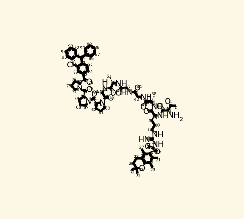 CC(=O)[C@H](N)C(=O)N[C@@H](CCCNC(=N)NS(=O)(=O)c1c(C)c(C)c2c(c1C)CCC(C)(C)O2)C(=O)N[C@@H](C)C(=O)NCC(=O)NCC(=O)N[C@@H](C)C(=O)N[C@@H](C)C(=O)N1CCC[C@H]1C(=O)N1CCC[C@H]1C(=O)N1CCC[C@H]1C(=O)c1ccc([C](c2ccccc2)c2ccccc2)c(Cl)c1